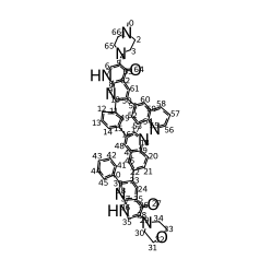 CN1CCN(c2c[nH]c3nc(-c4cccc(-c5cnc6ccc(-c7cc8c(=O)c(N9CCOCC9)c[nH]c8nc7-c7ccccc7)cc6c5)c4)c(-c4ccc5ncccc5c4)cc3c2=O)CC1